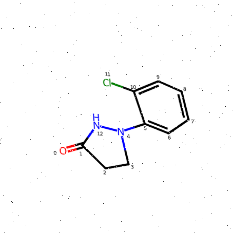 O=C1CCN(c2ccccc2Cl)N1